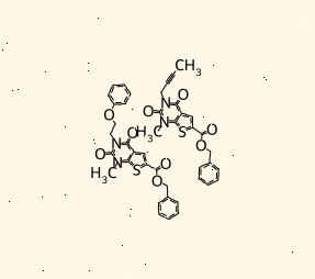 CC#CCn1c(=O)c2cc(C(=O)OCc3ccccc3)sc2n(C)c1=O.Cn1c(=O)n(CCOc2ccccc2)c(=O)c2cc(C(=O)OCc3ccccc3)sc21